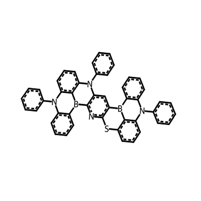 c1ccc(N2c3ccccc3B3c4cc5c(nc4Sc4cccc2c43)B2c3ccccc3N(c3ccccc3)c3cccc(c32)N5c2ccccc2)cc1